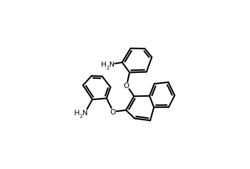 Nc1ccccc1Oc1ccc2ccccc2c1Oc1ccccc1N